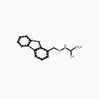 CC(NOCc1cccc2c1Cc1ccccc1-2)C(=O)O